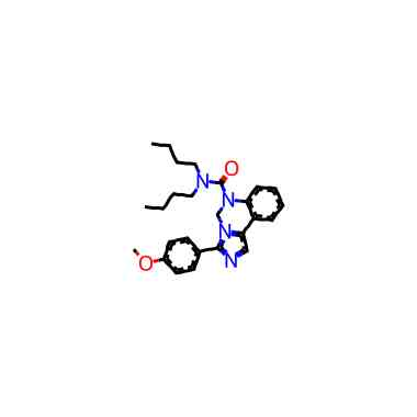 CCCCN(CCCC)C(=O)N1Cn2c(cnc2-c2ccc(OC)cc2)-c2ccccc21